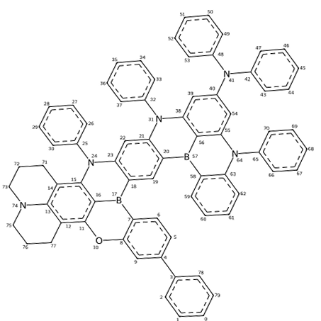 c1ccc(-c2ccc3c(c2)Oc2c4c5c(c6c2B3c2cc3c(cc2N6c2ccccc2)N(c2ccccc2)c2cc(N(c6ccccc6)c6ccccc6)cc6c2B3c2ccccc2N6c2ccccc2)CCCN5CCC4)cc1